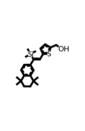 CC1(C)CCC(C)(C)c2cc(C(=Cc3ccc(CO)s3)[Si](C)(C)C)ccc21